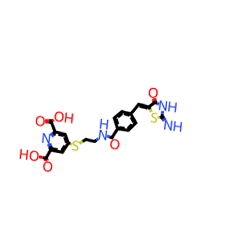 N=C1NC(=O)C(=Cc2ccc(C(=O)NCCSc3cc(C(=O)O)nc(C(=O)O)c3)cc2)S1